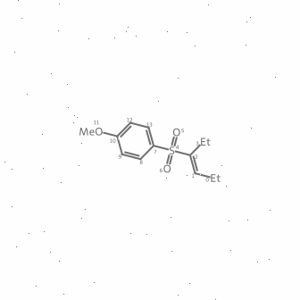 CCC=C(CC)S(=O)(=O)c1ccc(OC)cc1